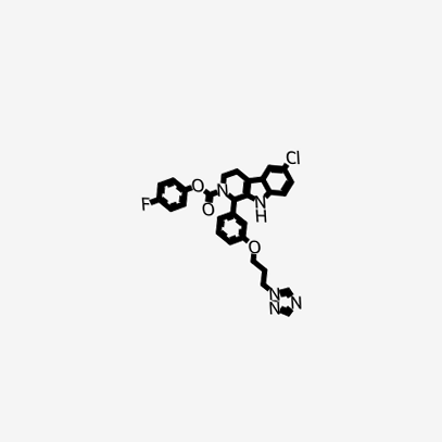 O=C(Oc1ccc(F)cc1)N1CCC2=C(NC3C=CC(Cl)=CC23)C1c1cccc(OCCCn2cncn2)c1